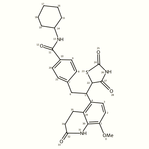 COc1ccc(C(Cc2ccc(C(=O)NC3CCCCC3)cc2)C2SC(=O)NC2=O)c2c1NC(=O)CC2